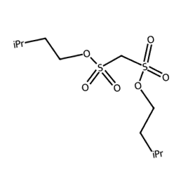 CC(C)CCOS(=O)(=O)CS(=O)(=O)OCCC(C)C